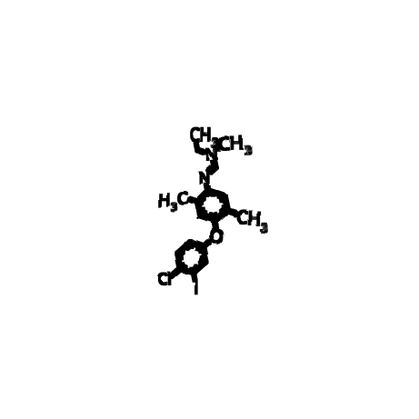 CCN(C)C=Nc1cc(C)c(Oc2ccc(Cl)c(I)c2)cc1C